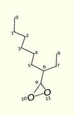 CCCCCCC(CC)C1OO1